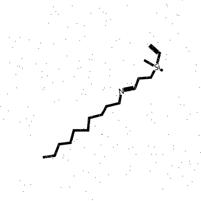 C=C[Si](C)(C)CCC=NCCCCCCCCCC